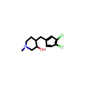 CN1CCC(Cc2ccc(Cl)c(Cl)c2)C(O)C1